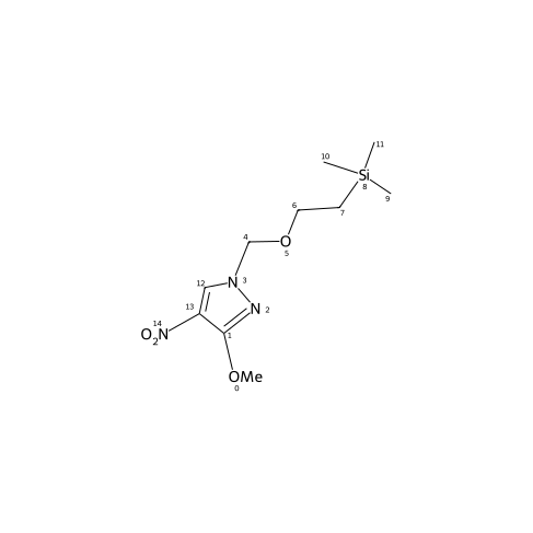 COc1nn(COCC[Si](C)(C)C)cc1[N+](=O)[O-]